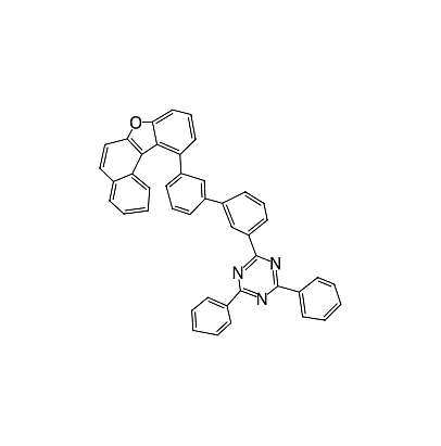 c1ccc(-c2nc(-c3ccccc3)nc(-c3cccc(-c4cccc(-c5cccc6oc7ccc8ccccc8c7c56)c4)c3)n2)cc1